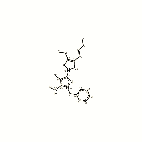 CC/C=C/C1=C(CC)CN(c2nn(Cc3ccccc3)c(NC)c2C)C1